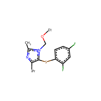 CCOCn1c(C)nc(C(C)C)c1Sc1ccc(F)cc1F